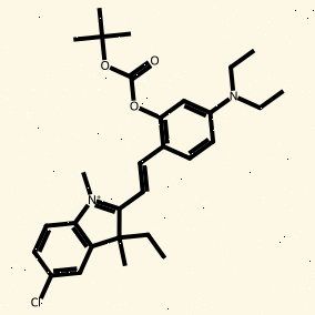 CCN(CC)c1ccc(/C=C/C2=[N+](C)c3ccc(Cl)cc3C2(C)CC)c(OC(=O)OC(C)(C)C)c1